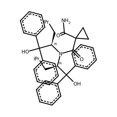 CC(C)C[C@@H](N(C(=O)C1(C(N)=O)CC1)[C@H](CC(C)C)C(O)(c1ccccc1)c1ccccc1)C(O)(c1ccccc1)c1ccccc1